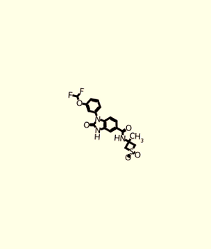 CC1(NC(=O)c2ccc3c(c2)[nH]c(=O)n3-c2cccc(OC(F)F)c2)CS(=O)(=O)C1